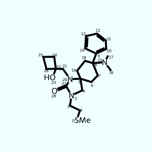 CSCCN1CC2(CCC(c3ccccc3)(N(C)C)CC2)N(CC2(O)CCC2)C1=O